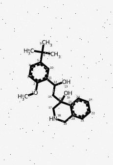 COc1ccc(C(C)(C)C)cc1C(O)CC1(O)CNCc2ccccc21